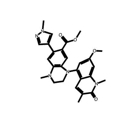 COC(=O)c1cc2c(cc1-c1cnn(C)c1)N(C)CCN2c1cc(OC)cc2c1cc(C)c(=O)n2C